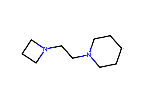 [CH]1CCN(CCN2CCC2)CC1